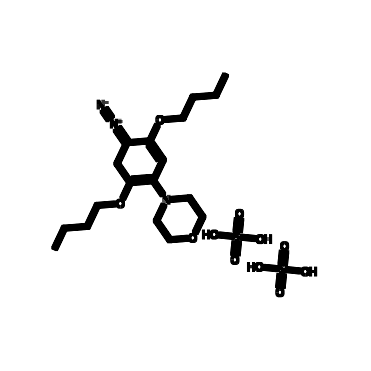 CCCCOC1=CC(N2CCOCC2)=C(OCCCC)CC1=[N+]=[N-].O=S(=O)(O)O.O=S(=O)(O)O